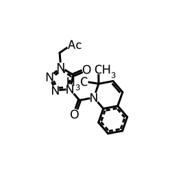 CC(=O)Cn1nnn(C(=O)N2c3ccccc3C=CC2(C)C)c1=O